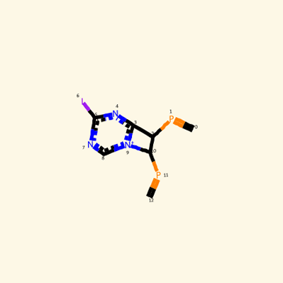 C=PC1c2nc(I)nc[n+]2C1P=C